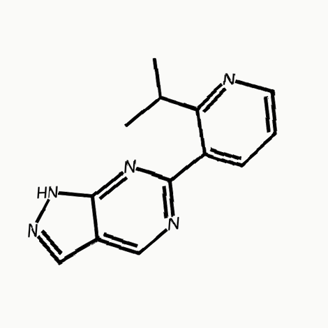 CC(C)c1ncccc1-c1ncc2cn[nH]c2n1